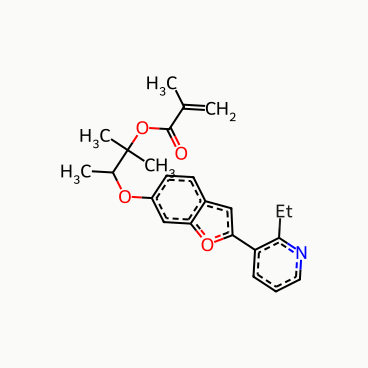 C=C(C)C(=O)OC(C)(C)C(C)Oc1ccc2cc(-c3cccnc3CC)oc2c1